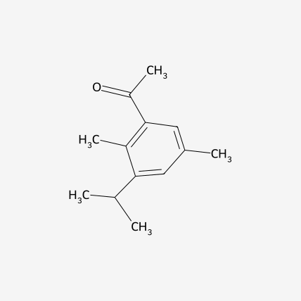 CC(=O)c1cc(C)cc(C(C)C)c1C